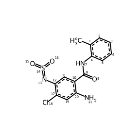 Cc1ccccc1NC(=O)c1cc(N=S(=O)=O)c(Cl)cc1N